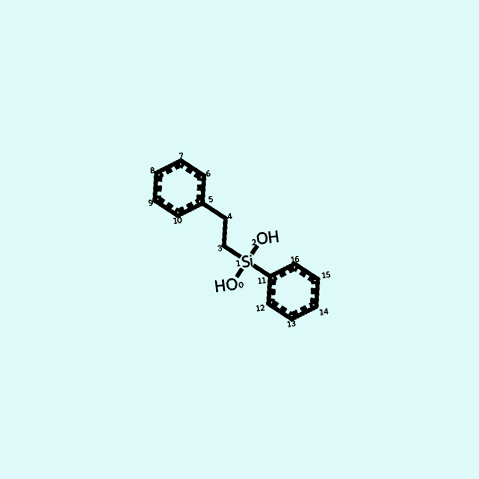 O[Si](O)(CCc1ccccc1)c1ccccc1